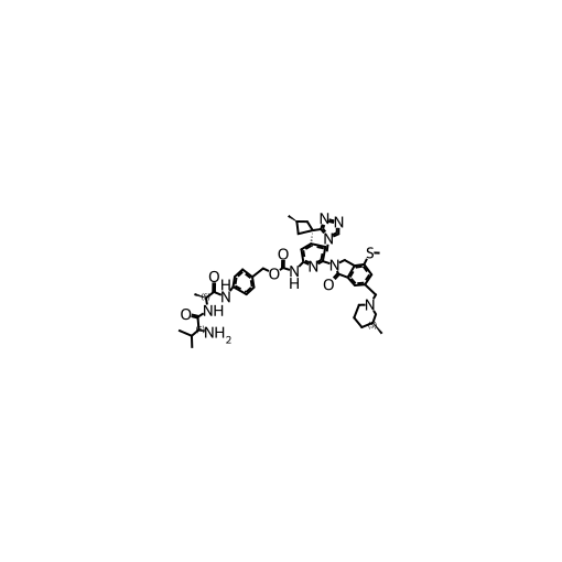 CSc1cc(CN2CCC[C@H](C)C2)cc2c1CN(c1cc([C@]3(c4nncn4C)C[C@@H](C)C3)cc(NC(=O)OCc3ccc(NC(=O)[C@H](C)NC(=O)[C@@H](N)C(C)C)cc3)n1)C2=O